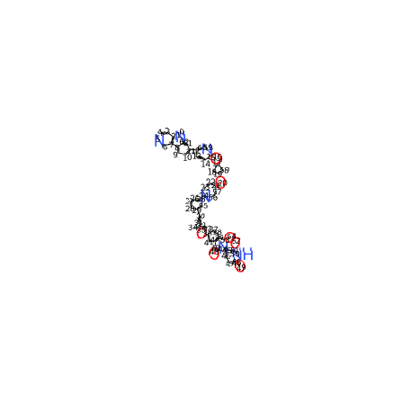 Cn1c2ccncc2c2ccc(-c3ccc(O[C@H]4C[C@H](OC5CCN(c6cccc(C#CC(C)(C)Oc7ccc8c(c7)C(=O)N(C7CCC(=O)NC7=O)C8=O)c6)CC5)C4)nc3)cc21